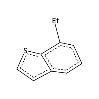 CCc1cccc2ccsc12